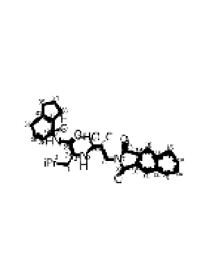 CC(C)C[C@H](N[C@H](CCN1C(=O)c2cc3ccccc3cc2C1=O)C(=O)O)C(=O)N[C@]1(O)C=CCC2=C1CCC2